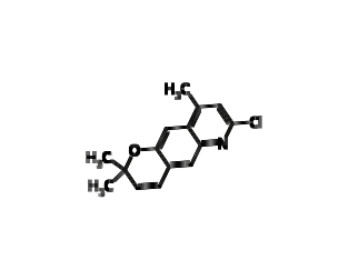 Cc1cc(Cl)nc2cc3c(cc12)OC(C)(C)C=C3